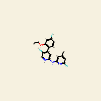 [CH2]c1cc(F)nc(Nc2cc(-c3ccc(F)cc3OCC)c(F)cn2)c1